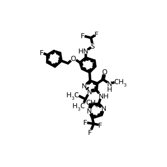 CNC(=O)c1c(-c2ccc(NSC(F)F)c(OCc3ccc(F)cc3)c2)nn(C(C)(C)C)c1Nc1cnc(C(F)(F)F)cn1